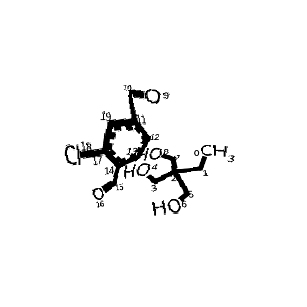 CCC(CO)(CO)CO.O=Cc1ccc(C=O)c(Cl)c1